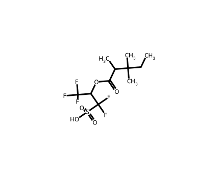 CCC(C)(C)C(C)C(=O)OC(C(F)(F)F)C(F)(F)S(=O)(=O)O